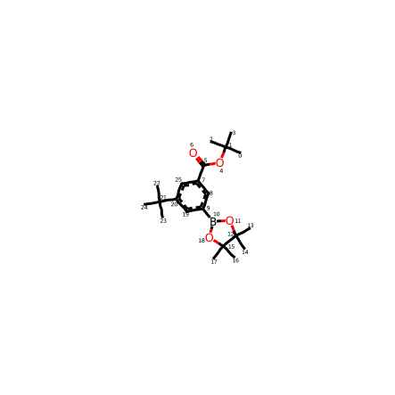 CC(C)(C)OC(=O)c1cc(B2OC(C)(C)C(C)(C)O2)cc(C(C)(C)C)c1